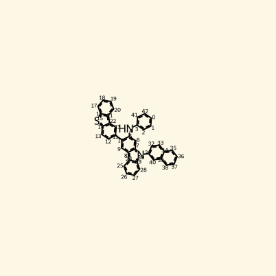 c1ccc(Nc2cc3c(cc2-c2ccc4sc5ccccc5c4c2)c2ccccc2n3-c2ccc3ccccc3c2)cc1